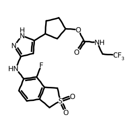 O=C(NCC(F)(F)F)OC1CCC(c2cc(Nc3ccc4c(c3F)CS(=O)(=O)C4)n[nH]2)C1